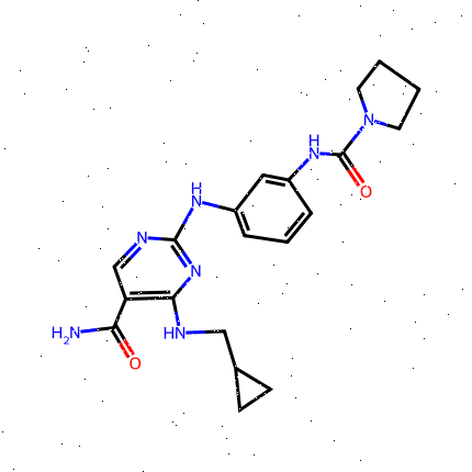 NC(=O)c1cnc(Nc2cccc(NC(=O)N3CCCC3)c2)nc1NCC1CC1